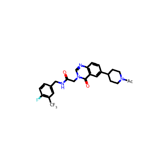 CC(=O)N1CCC(c2ccc3ncn(CC(=O)NCc4ccc(F)c(C(F)(F)F)c4)c(=O)c3c2)CC1